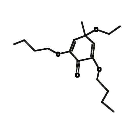 CCCCOC1=CC(C)(OCC)C=C(OCCCC)C1=O